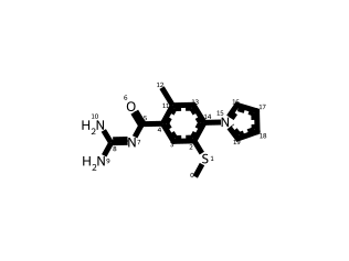 CSc1cc(C(=O)N=C(N)N)c(C)cc1-n1cccc1